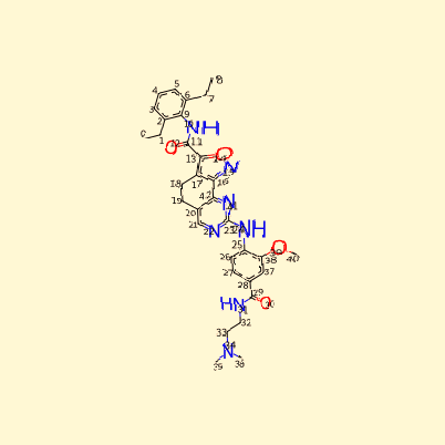 CCc1cccc(CC)c1NC(=O)c1onc2c1CCc1cnc(Nc3ccc(C(=O)NCCN(C)C)cc3OC)nc1-2